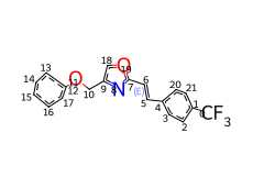 FC(F)(F)c1ccc(/C=C/c2nc(COc3ccccc3)co2)cc1